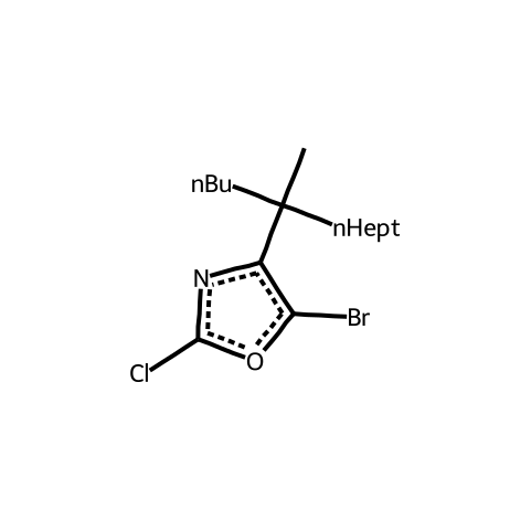 CCCCCCCC(C)(CCCC)c1nc(Cl)oc1Br